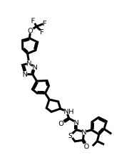 Cc1cccc(N2C(=O)CS/C2=N\C(=O)NC2CCC(c3ccc(-c4ncn(-c5ccc(OC(F)(F)F)cc5)n4)cc3)C2)c1C(C)C